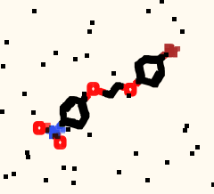 O=[N+]([O-])c1ccc(OCCOc2ccc(Br)cc2)cc1